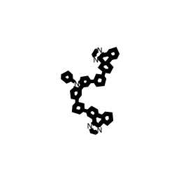 c1ccc(-n2c3ccc(-c4cccc(-c5ccc6c7ccccc7c7nccnc7c6c5)c4)cc3c3cc(-c4cccc(-c5ccc6c7ccccc7c7nccnc7c6c5)c4)ccc32)cc1